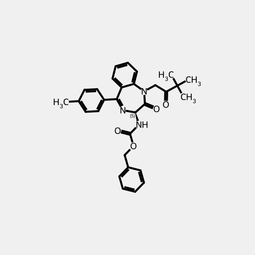 Cc1ccc(C2=N[C@H](NC(=O)OCc3ccccc3)C(=O)N(CC(=O)C(C)(C)C)c3ccccc32)cc1